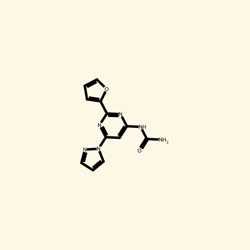 NC(=O)Nc1cc(-n2cccn2)nc(-c2ccco2)n1